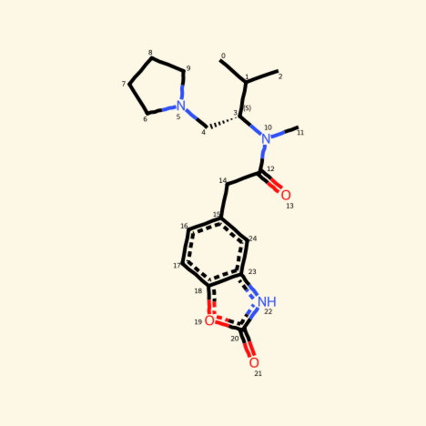 CC(C)[C@@H](CN1CCCC1)N(C)C(=O)Cc1ccc2oc(=O)[nH]c2c1